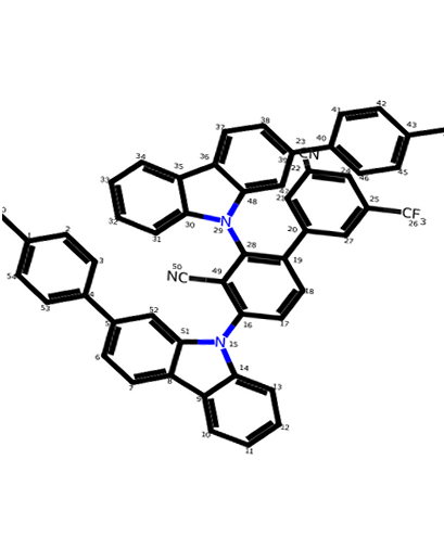 Cc1ccc(-c2ccc3c4ccccc4n(-c4ccc(-c5cc(C#N)cc(C(F)(F)F)c5)c(-n5c6ccccc6c6ccc(-c7ccc(C)cc7)cc65)c4C#N)c3c2)cc1